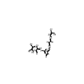 C=C(C)C.C=C/C=C/C.C=CC(=C)C.C=CC=C.CC(C)=C(C)C.CC=C(C)C